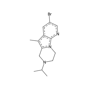 Cc1c2n(c3ncc(Br)cc13)CCN(C(C)C)C2